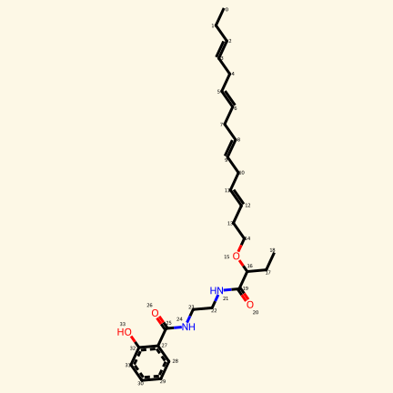 CCC=CCC=CCC=CCC=CCCOC(CC)C(=O)NCCNC(=O)c1ccccc1O